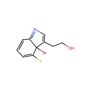 OCCC1=CN=C2C=CC=C(F)C12Br